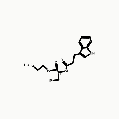 CC(C)C[C@H](NC(=O)CCc1c[nH]c2ccccc12)C(=O)NCCC(=O)O